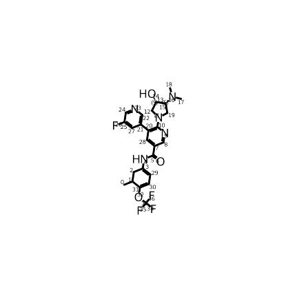 CC1CC(NC(=O)c2cnc(N3C[C@H](O)[C@@H](N(C)C)C3)c(-c3cncc(F)c3)c2)=CC=C1OC(F)(F)F